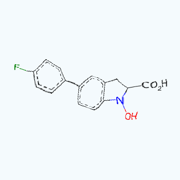 O=C(O)C1Cc2cc(-c3ccc(F)cc3)ccc2N1O